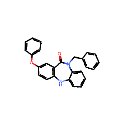 O=C1c2cc(Oc3ccccc3)ccc2Nc2ccccc2N1Cc1ccccc1